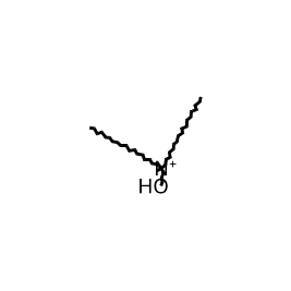 CCCCCCCCCCCCCCCCCC[N+](C)(CCCO)CCCCCCCCCCCCCCCCCC